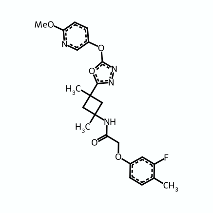 COc1ccc(Oc2nnc(C3(C)CC(C)(NC(=O)COc4ccc(C)c(F)c4)C3)o2)cn1